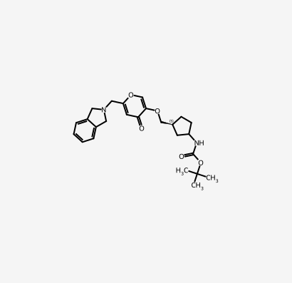 CC(C)(C)OC(=O)NC1CC[C@H](COc2coc(CN3Cc4ccccc4C3)cc2=O)C1